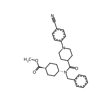 COC(=O)[C@H]1CC[C@H](N(Cc2ccccc2)C(=O)C2CCN(c3ccc(C#N)cc3)CC2)CC1